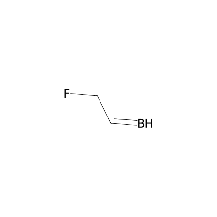 B=CCF